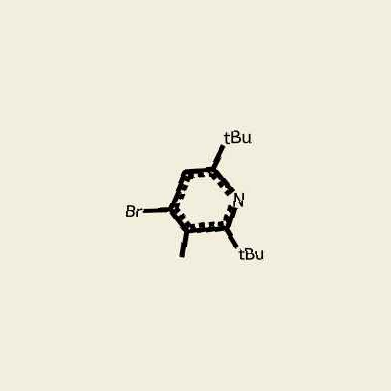 Cc1c(Br)cc(C(C)(C)C)nc1C(C)(C)C